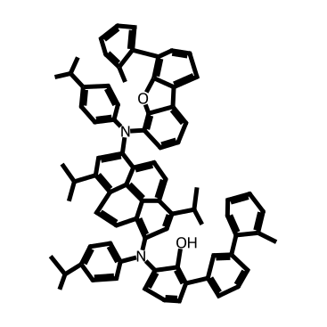 Cc1ccccc1-c1cccc(-c2cccc(N(c3ccc(C(C)C)cc3)c3cc(C(C)C)c4ccc5c(N(c6ccc(C(C)C)cc6)c6cccc7c6oc6c(-c8ccccc8C)cccc67)cc(C(C)C)c6ccc3c4c65)c2O)c1